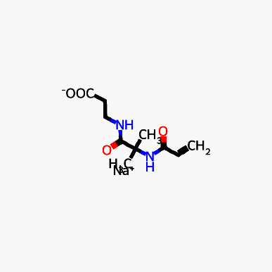 C=CC(=O)NC(C)(C)C(=O)NCCC(=O)[O-].[Na+]